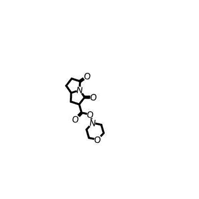 O=C(ON1CCOCC1)C1CC2CCC(=O)N2C1=O